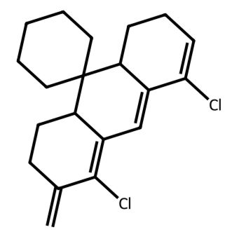 C=C1CCC2C(=C1Cl)C=C1C(Cl)=CCCC1C21CCCCC1